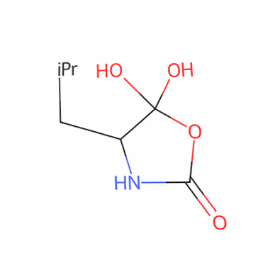 CC(C)CC1NC(=O)OC1(O)O